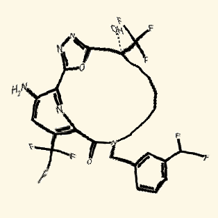 Nc1cc(C(F)(F)F)c2nc1-c1nnc(o1)[C@@](O)(C(F)(F)F)CCCCCN(Cc1cccc(C(F)F)c1)C2=O